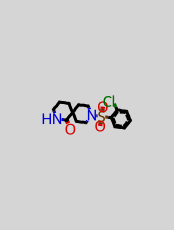 O=C1NCCCC12CCN(S(=O)(=O)c1ccccc1Cl)CC2